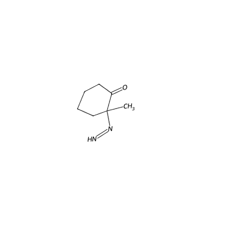 CC1(N=N)CCCCC1=O